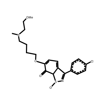 COCCN(C)CCCCOC1=CC=C2C(c3ccc(Cl)cc3)=N[S+]([O-])C2C1=O